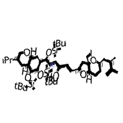 C=C(C)[C@H](C)C[C@H]1CC[C@@H]2O[C@@H](CCC(O)/C=C/[C@H](O[Si](C)(C)C(C)(C)C)[C@@H]3C[C@H]4OC[C@H](CCC)C[C@@H]4[C@H](O[Si](C)(C)C(C)(C)C)[C@@H]3O[Si](C)(C)C(C)(C)C)C[C@]2(CI)O1